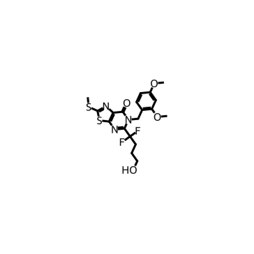 COc1ccc(Cn2c(C(F)(F)CCCO)nc3sc(SC)nc3c2=O)c(OC)c1